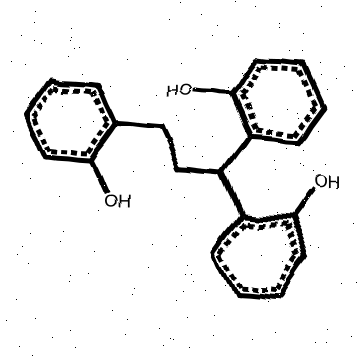 Oc1ccccc1CCC(c1ccccc1O)c1ccccc1O